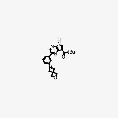 CC(C)(C)C(=O)c1c[nH]c2ncc(-c3cccc(N4CC5(COC5)C4)c3)nc12